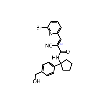 N#C/C(=C\c1cccc(Br)n1)C(=O)NC1(c2ccc(CO)cc2)CCCC1